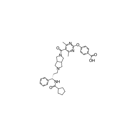 Cc1nc(Oc2ccc(C(=O)O)cc2)nc(C)c1C(=O)N1CC2CN(CC[C@H](NC(=O)C3CCCC3)c3ccccc3)CC2C1